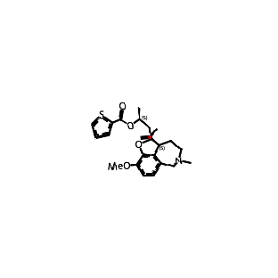 C=C(C)[C@@]12CCN(C)Cc3ccc(OC)c(c31)OC2C[C@H](C)OC(=O)c1cccs1